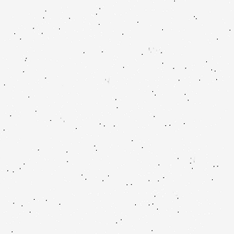 COc1cc(Oc2ccc(S)nc2)cc2cc(C3=NCC(CC=O)S3)[nH]c12